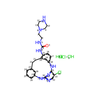 Cl.Cl.Cl.O=C(NCCN1CCNCC1)Nc1ccc2cc1CCc1cccc(c1)Nc1ncc(Cl)c(n1)N2